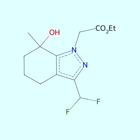 CCOC(=O)Cn1nc(C(F)F)c2c1C(C)(O)CCC2